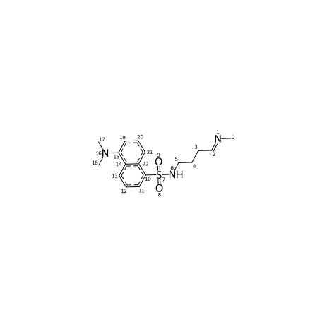 C/N=C/CCCNS(=O)(=O)c1cccc2c(N(C)C)cccc12